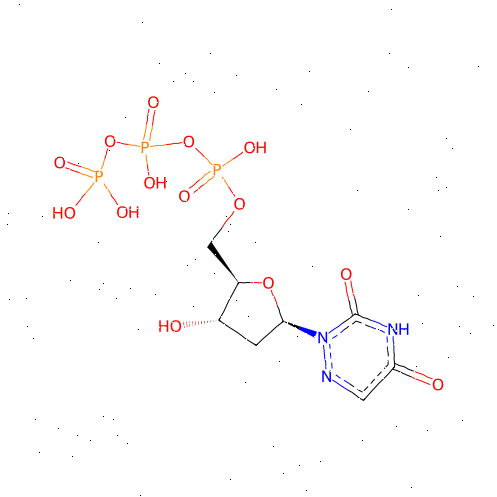 O=c1cnn([C@H]2C[C@H](O)[C@@H](COP(=O)(O)OP(=O)(O)OP(=O)(O)O)O2)c(=O)[nH]1